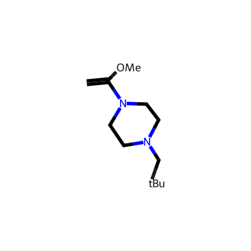 C=C(OC)N1CCN(CC(C)(C)C)CC1